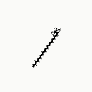 C=CCCCCCCCCCCCCCCCCCCC=C(C)C(=O)O